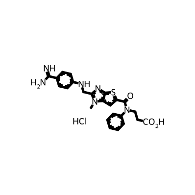 Cl.Cn1c(CNc2ccc(C(=N)N)cc2)nc2sc(C(=O)N(CCC(=O)O)c3ccccc3)cc21